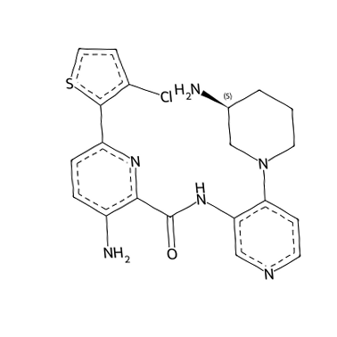 Nc1ccc(-c2sccc2Cl)nc1C(=O)Nc1cnccc1N1CCC[C@H](N)C1